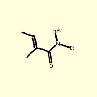 CC=C(C)C(=O)N(CC)CCC